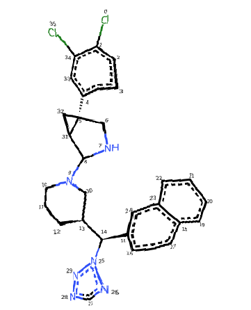 Clc1ccc([C@]23CNC(N4CCC[C@H]([C@@H](c5ccc6ccccc6c5)n5ncnn5)C4)C2C3)cc1Cl